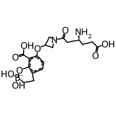 N[C@@H](CCC(=O)O)CC(=O)N1CC(Oc2ccc3c(c2C(=O)O)O[B-](O)(O)CC3)C1